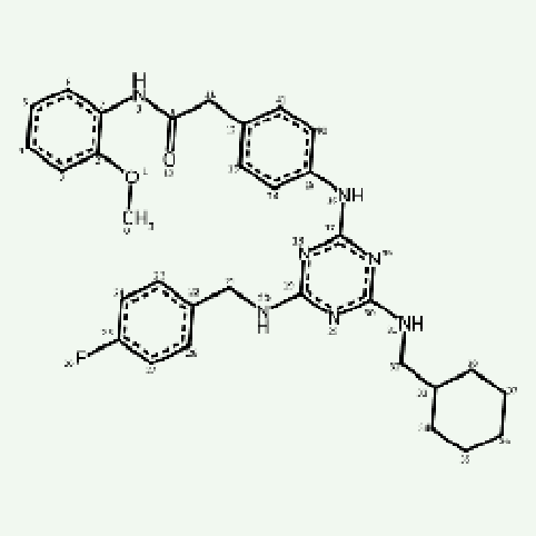 COc1ccccc1NC(=O)Cc1ccc(Nc2nc(NCc3ccc(F)cc3)nc(NCC3CCCCC3)n2)cc1